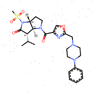 CC(C)[C@@H]1C(=O)N(S(C)(=O)=O)[C@@H]2CCN(C(=O)c3coc(CN4CCN(c5ccccc5)CC4)n3)[C@H]21